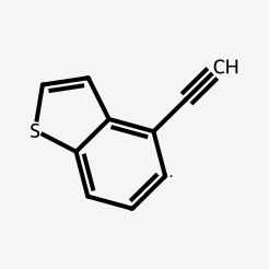 C#Cc1[c]ccc2sccc12